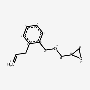 C=CCc1ccccc1COCC1CO1